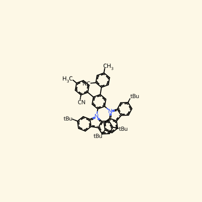 Cc1ccc(-c2cc(-n3c4cc(C(C)(C)C)ccc4c4ccc(C(C)(C)C)cc43)c(-n3c4cc(C(C)(C)C)ccc4c4ccc(C(C)(C)C)cc43)cc2-c2ccc(C)cc2C#N)c(C#N)c1